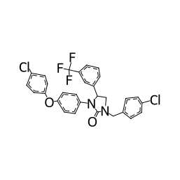 O=C1N(Cc2ccc(Cl)cc2)CC(c2cccc(C(F)(F)F)c2)N1c1ccc(Oc2ccc(Cl)cc2)cc1